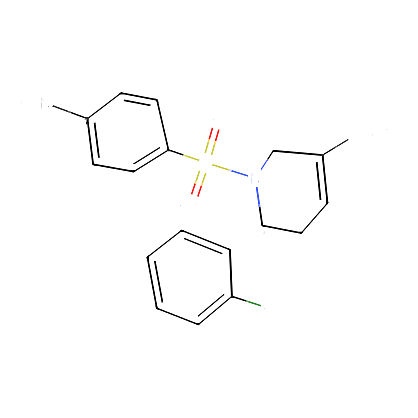 CCOC(=O)C1=CC[C@H](c2ccccc2Cl)N(S(=O)(=O)c2ccc([N+](=O)[O-])cc2)C1